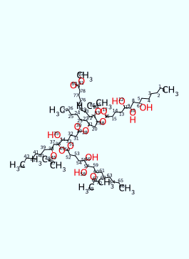 CCCCCCC(O)CC(O)C(O)CCCC(=O)OC(CC(CCCCCC)OC(=O)CCCC(O)C(CC(CCCCCC)OC(C)C)OC(=O)CCCC(O)C(O)CC(CCCCCC)OC(C)C)C(CCCCCCCC(=O)OC)OC(C)C